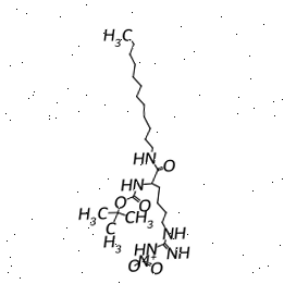 CCCCCCCCCCCCNC(=O)C(CCCCNC(=N)N[N+](=O)[O-])NC(=O)OC(C)(C)C